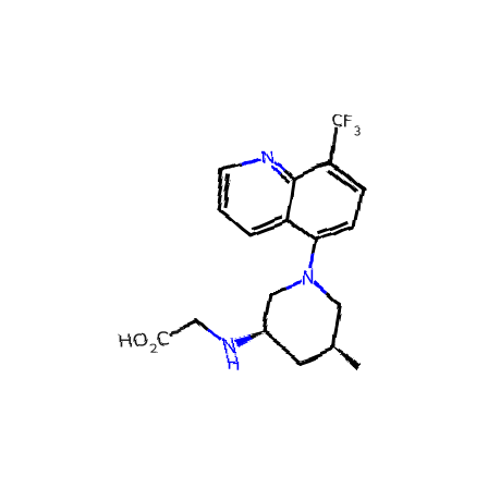 C[C@H]1C[C@@H](NCC(=O)O)CN(c2ccc(C(F)(F)F)c3ncccc23)C1